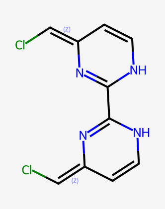 Cl/C=C1/C=CNC(C2=N/C(=C\Cl)C=CN2)=N1